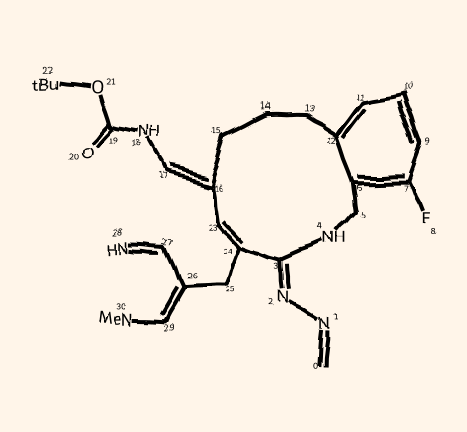 C=NN=C1NCc2c(F)cccc2CCCC(=C\NC(=O)OC(C)(C)C)/C=C\1C/C(C=N)=C/NC